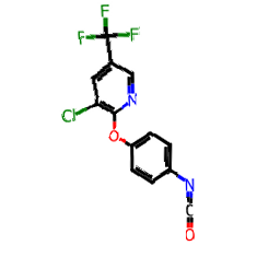 O=C=Nc1ccc(Oc2ncc(C(F)(F)F)cc2Cl)cc1